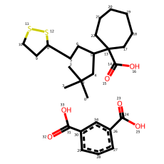 CC(C)(C)CC(CCC1CCSS1)C1(C(=O)O)CCCCCC1.O=C(O)c1cccc(C(=O)O)c1